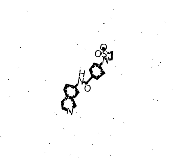 O=C(Nc1ccc2ccncc2c1)c1ccc(N2CCS2(=O)=O)cc1